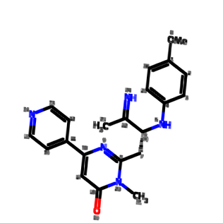 COc1ccc(N[C@H](Cc2nc(-c3ccncc3)cc(=O)n2C)C(C)=N)cc1